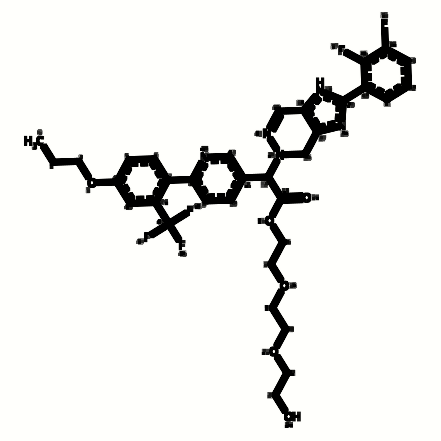 CCCOc1ccc(-c2ccc(C(C(=O)OCCOCCOCCO)N3Cc4nc(-c5cccc(F)c5F)[nH]c4C=N3)cn2)c(C(F)(F)F)c1